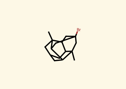 CC12CC3CC4C1CC1(Br)CC2C(C3)C4(C)C1